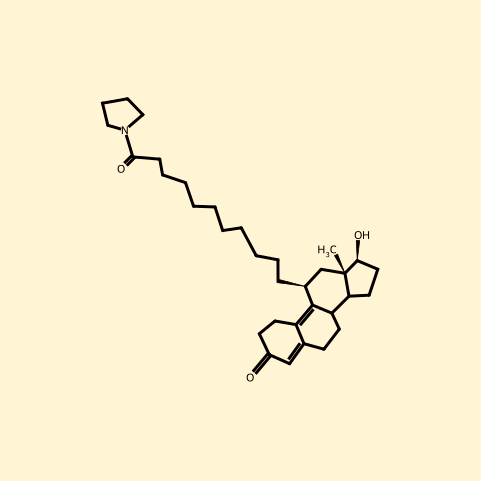 C[C@]12C[C@H](CCCCCCCCCCC(=O)N3CCCC3)C3=C4CCC(=O)C=C4CCC3C1CC[C@@H]2O